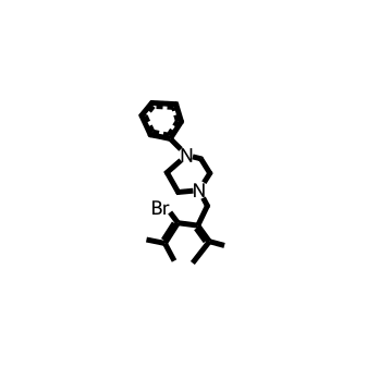 CC(C)=C(Br)C(CN1CCN(c2ccccc2)CC1)=C(C)C